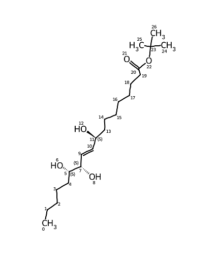 CCCCC[C@H](O)[C@@H](O)C=C[C@@H](O)CCCCCCCC(=O)OC(C)(C)C